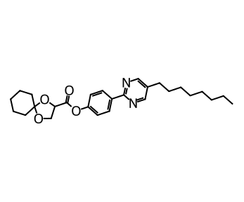 CCCCCCCCc1cnc(-c2ccc(OC(=O)C3COC4(CCCCC4)O3)cc2)nc1